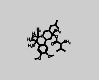 BC1(OC(=O)[C@@H](N)C(C)C)CC2c3cc(OC)c(OC)cc3C(B)(B)C(B)(B)N2CC1CC(C)C